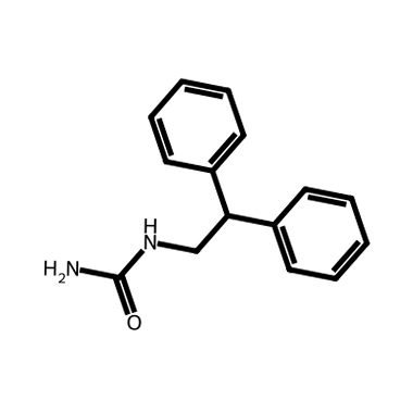 NC(=O)NCC(c1ccccc1)c1ccccc1